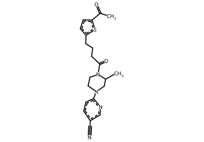 CC(=O)c1ccc(CCCC(=O)N2CCN(c3ccc(C#N)cn3)CC2C)s1